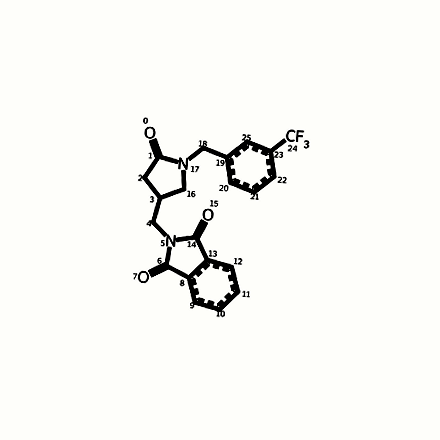 O=C1CC(CN2C(=O)c3ccccc3C2=O)CN1Cc1cccc(C(F)(F)F)c1